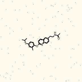 CC(=O)NCCc1ccc2nc(Oc3ccc(SC(C)C)cc3C)ccc2c1